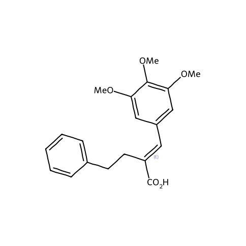 COc1cc(/C=C(\CCc2ccccc2)C(=O)O)cc(OC)c1OC